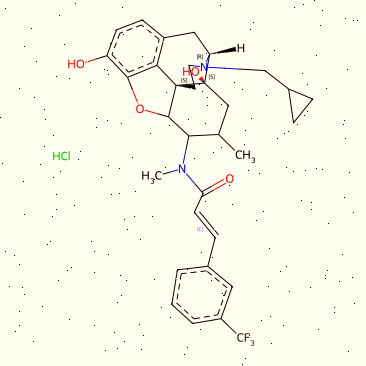 CC1C[C@@]2(O)[C@H]3Cc4ccc(O)c5c4[C@@]2(CCN3CC2CC2)C(O5)C1N(C)C(=O)/C=C/c1cccc(C(F)(F)F)c1.Cl